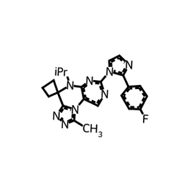 Cc1nnc2n1-c1cnc(-n3ccnc3-c3ccc(F)cc3)nc1N(C(C)C)C21CCC1